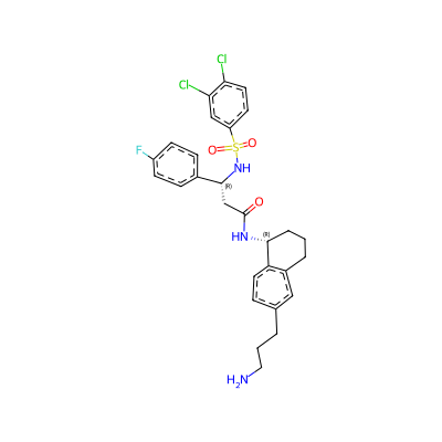 NCCCc1ccc2c(c1)CCC[C@H]2NC(=O)C[C@@H](NS(=O)(=O)c1ccc(Cl)c(Cl)c1)c1ccc(F)cc1